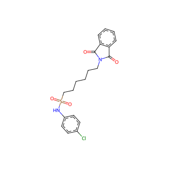 O=C1c2ccccc2C(=O)N1CCCCCCS(=O)(=O)Nc1ccc(Cl)cc1